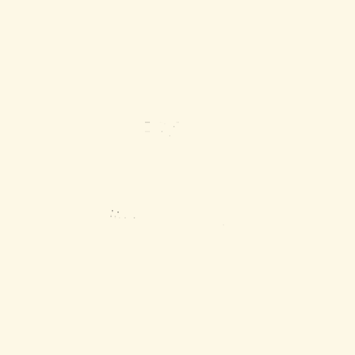 CCOC(=O)c1ccc(C=C(C)c2ccc(OC)cc2)cc1